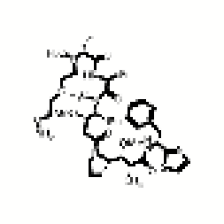 CC[C@H](C)[C@@H]([C@@H](CC(=O)N1CCC[C@H]1[C@H](OC)[C@@H](C)C(=O)N[C@@H](Cc1ccccc1)c1nccs1)OC)N(C)C(=O)C(NC(=O)[C@H](C(C)C)N(C)CCOCCON)C(C)C